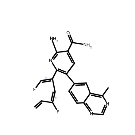 C=C/C(F)=C\C(=C/F)c1nc(N)c(C(N)=O)cc1-c1ccc2ncnc(C)c2c1